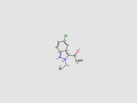 COC(=O)c1c2cc(Br)ccc2nn1CC(C)C